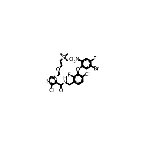 C[Si](C)(C)CCOCn1cnc(Cl)c1C(=O)NCc1ccc(Cl)c(Oc2cc(Br)c(F)cc2[N+](=O)[O-])c1F